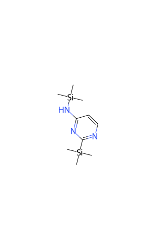 C[Si](C)(C)Nc1ccnc([Si](C)(C)C)n1